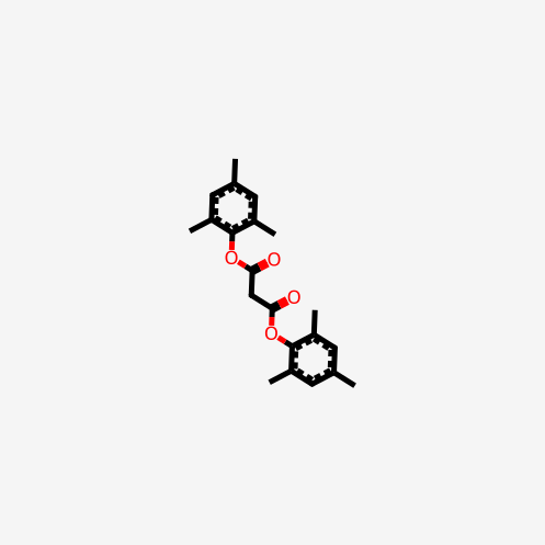 Cc1cc(C)c(OC(=O)CC(=O)Oc2c(C)cc(C)cc2C)c(C)c1